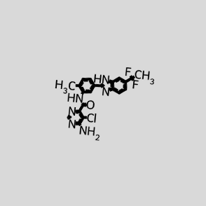 Cc1ccc(-c2nc3ccc(C(C)(F)F)cc3[nH]2)cc1NC(=O)c1ncnc(N)c1Cl